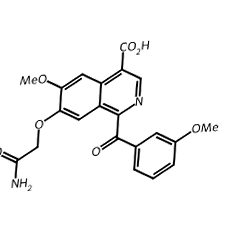 COc1cccc(C(=O)c2ncc(C(=O)O)c3cc(OC)c(OCC(N)=O)cc23)c1